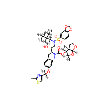 [2H]C([2H])(Oc1ccc(C[C@H](NC(=O)O[C@]2([2H])[C@@H]3CCO[C@@H]3OC2([2H])[2H])[C@H](O)CN(C([2H])([2H])C([2H])(C([2H])([2H])[2H])C([2H])([2H])[2H])S(=O)(=O)c2ccc3c(c2)OCO3)cc1)c1csc(C)n1